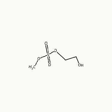 COS(=O)(=O)OCCO